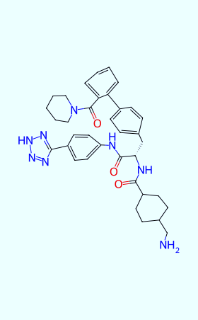 NCC1CCC(C(=O)N[C@@H](Cc2ccc(-c3ccccc3C(=O)N3CCCCC3)cc2)C(=O)Nc2ccc(-c3nn[nH]n3)cc2)CC1